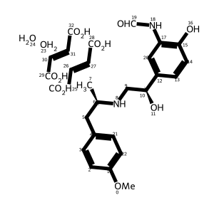 COc1ccc(C[C@@H](C)NC[C@H](O)c2ccc(O)c(NC=O)c2)cc1.O.O.O=C(O)/C=C/C(=O)O.O=C(O)/C=C/C(=O)O